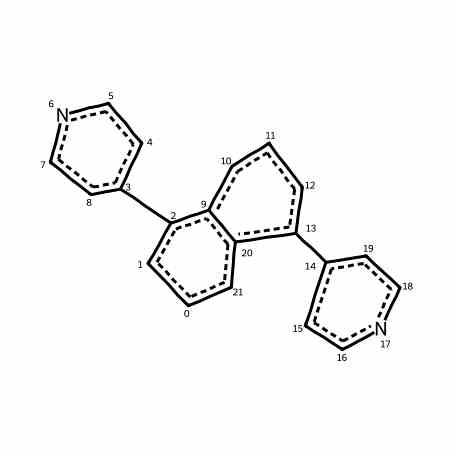 c1cc(-c2ccncc2)c2cccc(-c3ccncc3)c2c1